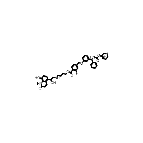 O=C(NC(c1ccccc1)c1cccc(OCc2ccc(C(=O)OCCCCNCC(O)c3ccc(O)c4[nH]c(=O)ccc34)c(F)c2)c1)OC1CN2CCC1CC2